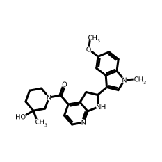 COc1ccc2c(c1)c(C1Cc3c(C(=O)N4CCCC(C)(O)C4)ccnc3N1)cn2C